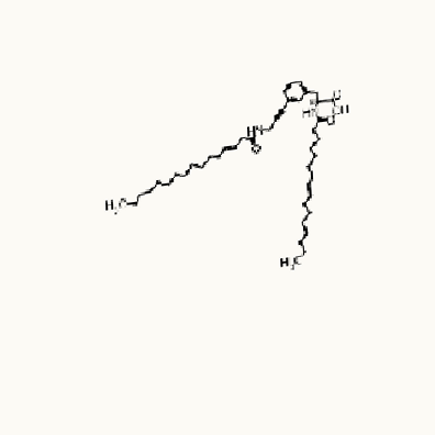 CCCCCCCCCCCCCCCC(=O)NCC#Cc1cccc(C[C@H](NC(=O)CCCCCCCCCCCCCCC)C(=O)O)c1